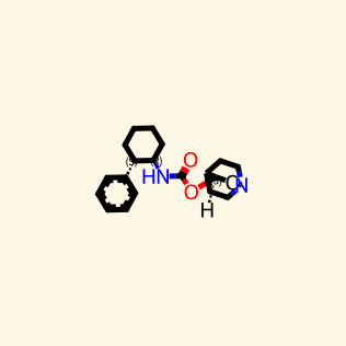 O=C(N[C@@H]1CCCC[C@H]1c1ccccc1)O[C@@H]1CN2CCC1CC2